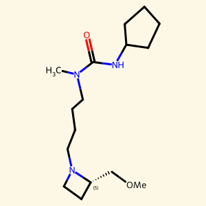 COC[C@@H]1CCN1CCCCN(C)C(=O)NC1CCCC1